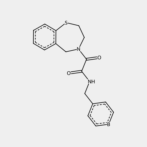 O=C(NCc1ccbcc1)C(=O)N1CCSc2ccccc2C1